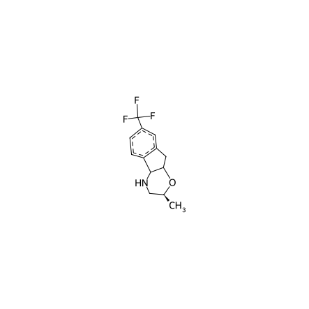 C[C@H]1CNC2c3ccc(C(F)(F)F)cc3CC2O1